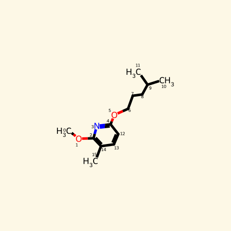 COc1nc(OCCCC(C)C)ccc1C